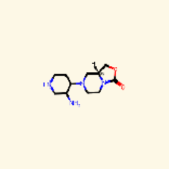 NC1CNCCC1N1CCN2C(=O)OC[C@H]2C1